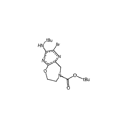 CC(C)(C)Nc1nc2c(nc1Br)CN(C(=O)OC(C)(C)C)CCO2